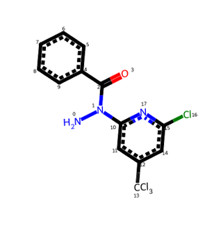 NN(C(=O)c1ccccc1)c1cc(C(Cl)(Cl)Cl)cc(Cl)n1